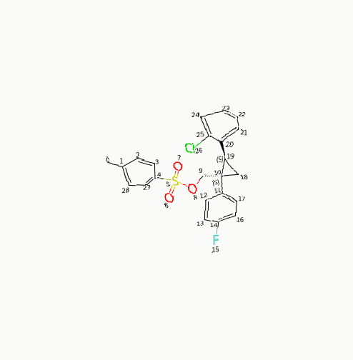 Cc1ccc(S(=O)(=O)OC[C@@]2(c3ccc(F)cc3)C[C@@H]2c2ccccc2Cl)cc1